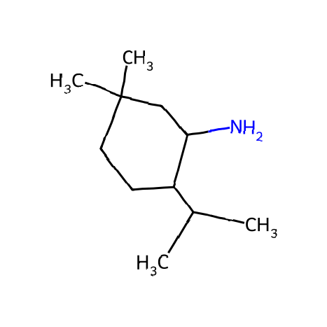 CC(C)C1CCC(C)(C)CC1N